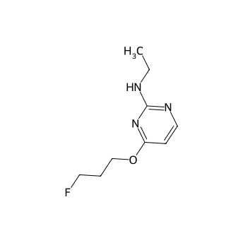 CCNc1nccc(OCCCF)n1